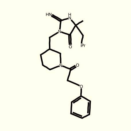 CC(C)CC1(C)NC(=N)N(CC2CCCN(C(=O)COc3ccccc3)C2)C1=O